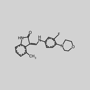 Cc1cccc2c1C(=CNc1ccc(N3CCOCC3)c(F)c1)C(=O)N2